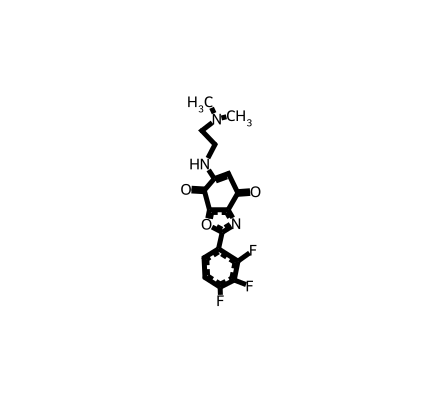 CN(C)CCNC1=CC(=O)c2nc(-c3ccc(F)c(F)c3F)oc2C1=O